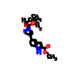 CCOC(=O)c1cc2cc(-c3cnn(C(=O)OC(C)(C)C)c3)ccc2[nH]1